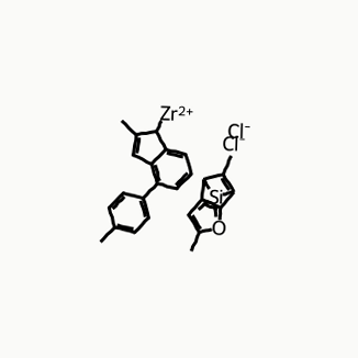 CC1=C2c3oc(C)cc3C1[Si]2(C)C.CC1=Cc2c(-c3ccc(C)cc3)cccc2[CH]1[Zr+2].[Cl-].[Cl-]